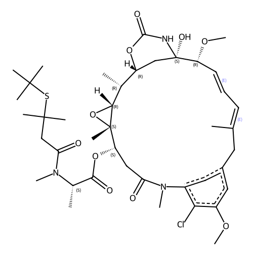 COc1cc2cc(c1Cl)N(C)C(=O)C[C@H](OC(=O)[C@H](C)N(C)C(=O)CC(C)(C)SC(C)(C)C)[C@]1(C)O[C@@H]1[C@H](C)[C@H]1C[C@@](O)(NC(=O)O1)[C@H](OC)/C=C/C=C(\C)C2